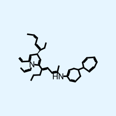 C=CC1=C[C@@H](/C(=C/C=C\C)CC)C=C(/C(=C/C=C(\C)NC2=CCC(C3C=CC=CC=C3)CC=C2)CCC)N1/C=C\C